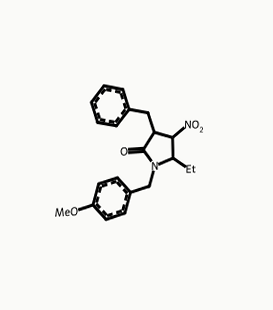 CCC1C([N+](=O)[O-])C(Cc2ccccc2)C(=O)N1Cc1ccc(OC)cc1